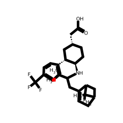 CC(C)C(CC1=CCC2CC1C2(C)C)N[C@@H]1CC[C@@H](CC(=O)O)C[C@H]1c1ccc(C(F)(F)F)cc1